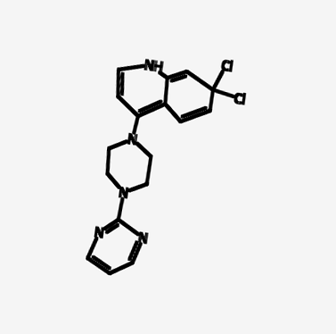 ClC1(Cl)C=CC2=C(N3CCN(c4ncccn4)CC3)C=CNC2=C1